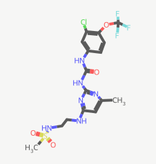 Cc1cc(NCCNS(C)(=O)=O)nc(NC(=O)Nc2ccc(OC(F)(F)F)c(Cl)c2)n1